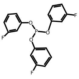 Fc1cccc(OP(Oc2cccc(F)c2)Oc2cccc(F)c2)c1